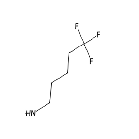 [NH]CCCCC(F)(F)F